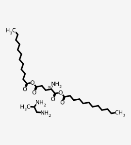 CC(N)CN.CCCCCCCCCCCC(=O)OC(=O)CC[C@H](N)C(=O)OC(=O)CCCCCCCCCCC